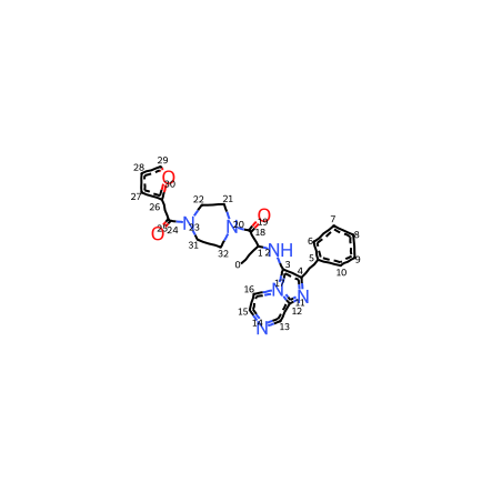 CC(Nc1c(-c2ccccc2)nc2cnccn12)C(=O)N1CCN(C(=O)c2ccco2)CC1